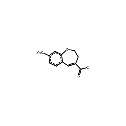 COc1ccc2c(c1)OCCC(C(=O)Cl)=C2